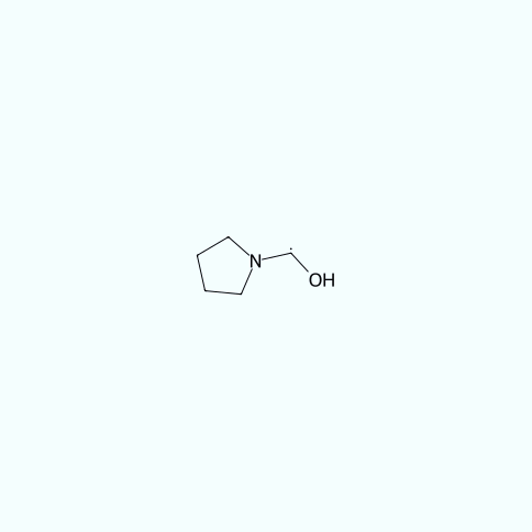 O[CH]N1CCCC1